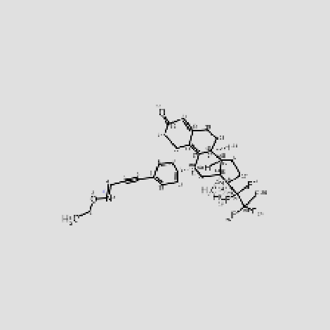 CCO/N=C/C#Cc1ccc([C@H]2C[C@@]3(C)[C@@H](CC[C@@]3(O)C(F)(F)C(F)(F)F)[C@@H]3CCC4=CC(=O)CCC4=C32)cc1